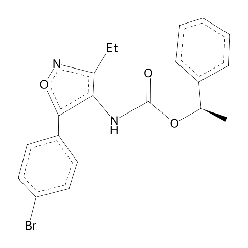 CCc1noc(-c2ccc(Br)cc2)c1NC(=O)O[C@H](C)c1ccccc1